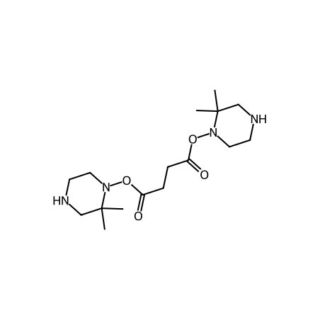 CC1(C)CNCCN1OC(=O)CCC(=O)ON1CCNCC1(C)C